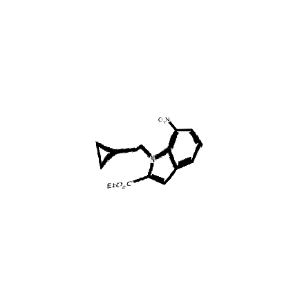 CCOC(=O)c1cc2cccc([N+](=O)[O-])c2n1CC1CC1